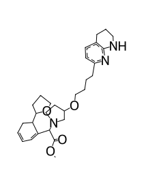 COC(=O)C(C1=CC=CCC1C1CCCO1)N1CCC(OCCCCc2ccc3c(n2)NCCC3)C1